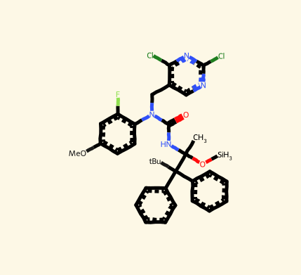 COc1ccc(N(Cc2cnc(Cl)nc2Cl)C(=O)NC(C)(O[SiH3])C(c2ccccc2)(c2ccccc2)C(C)(C)C)c(F)c1